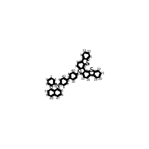 c1ccc(N(c2ccc(-c3ccc(-n4c5ccc6c7ccccc7sc6c5c5c6sc7ccccc7c6ccc54)cc3)cc2)c2cccc3ccccc23)cc1